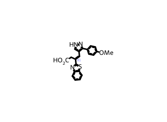 COc1ccc(-c2n[nH]cc2/C=C(\CC(=O)O)c2nc3ccccc3s2)cc1